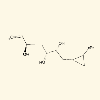 C=C[C@H](O)C[C@@H](O)[C@H](O)CC1CC1CCC